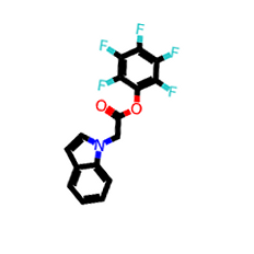 O=C(Cn1ccc2ccccc21)Oc1c(F)c(F)c(F)c(F)c1F